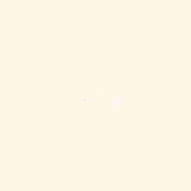 CC1=CCCC(C)(C)C1/C=C/C(C)C/C=N\[C@@H](C)C(=O)O